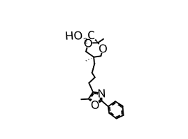 Cc1oc(-c2ccccc2)nc1CCCC[C@]1(C)CO[C@](C)(C(=O)O)OC1